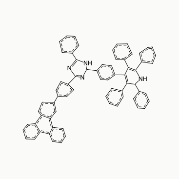 c1ccc(C2=NC(c3ccc(-c4ccc5c6ccccc6c6ccccc6c5c4)cc3)=NC(c3ccc(C4=C(c5ccccc5)C(c5ccccc5)NC(c5ccccc5)=C4c4ccccc4)cc3)N2)cc1